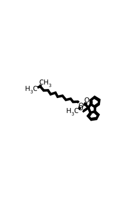 COCC1(C(=O)OCCCCCCCCCCC(C)C)c2ccccc2-c2ccccc21